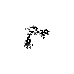 CC(=O)N1CC[C@H]2CC[C@@H](C(=O)N3CCC4(C3)C(=O)Nc3ccccc34)N2C(=O)[C@@H](NC(=O)c2cc3cc(C(F)(F)P(O)O)ccc3s2)C1